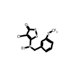 CCN(Cc1cccc(SC(F)(F)F)c1)c1ssc(=O)c1Cl